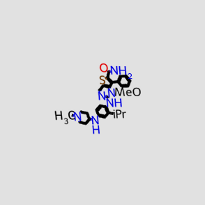 COc1ccccc1-c1c(C(N)=O)sc2cnc(Nc3ccc(NC4CCN(C)CC4)cc3C(C)C)nc12